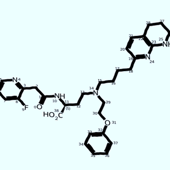 O=C(Cc1ncccc1F)N[C@@H](CCN(CCCCc1ccc2c(n1)NCCC2)CCOc1ccccc1)C(=O)O